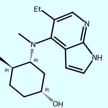 CCc1cnc2[nH]ccc2c1N(C)[C@@H]1C[C@H](O)CC[C@H]1C